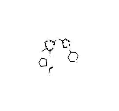 NC(=O)[C@@H]1CCC[C@@H]1Nc1nc(Nc2cnn(C3CCNCC3)c2)ncc1Cl